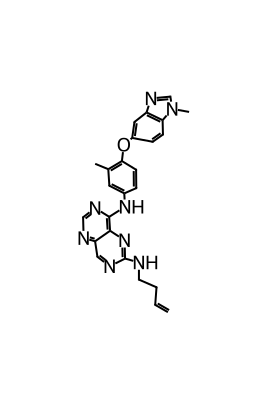 C=CCCNc1ncc2ncnc(Nc3ccc(Oc4ccc5c(c4)ncn5C)c(C)c3)c2n1